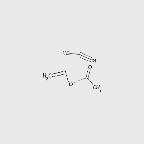 C=COC(C)=O.N#CS